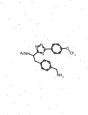 CC(=O)NC(Cc1ccc(CN)cc1)c1nnc(-c2ccc(OC(F)(F)F)cc2)s1